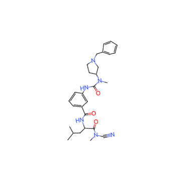 CC(C)CC(NC(=O)c1cccc(NC(=O)N(C)C2CCN(Cc3ccccc3)C2)c1)C(=O)N(C)C#N